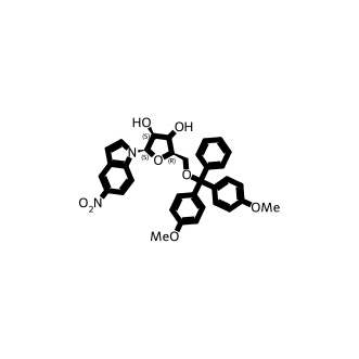 COc1ccc(C(OC[C@H]2O[C@H](n3ccc4cc([N+](=O)[O-])ccc43)[C@@H](O)C2O)(c2ccccc2)c2ccc(OC)cc2)cc1